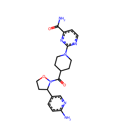 NC(=O)c1ccnc(N2CCC(C(=O)N3OCCC3c3ccc(N)nc3)CC2)n1